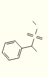 CNS(=O)(=O)C(C)c1ccccc1